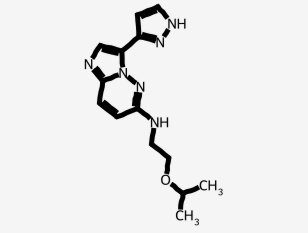 CC(C)OCCNc1ccc2ncc(-c3cc[nH]n3)n2n1